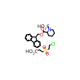 O=C(O)CCS(=O)(=O)CCCl.O=C(OCC1c2ccccc2-c2ccccc21)C1CCCCN1C(=O)O